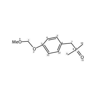 COCOc1ccc(CP(C)(C)=O)cc1